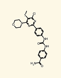 CSc1c(Cl)nc(-c2ccc(NC(=O)Nc3ccc(C(N)=O)cc3)cc2)nc1N1CCOCC1